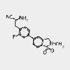 CN1Cc2cc(-c3ccc(C[C@H](N)C#N)c(F)c3)ccc2S1(=O)=O